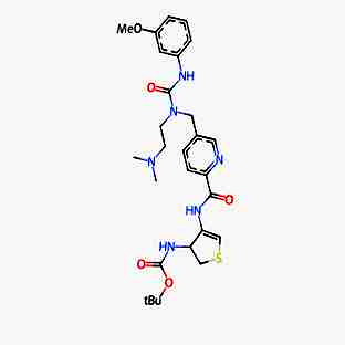 COc1cccc(NC(=O)N(CCN(C)C)Cc2ccc(C(=O)NC3=CSCC3NC(=O)OC(C)(C)C)nc2)c1